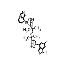 CC(C)(CCC(C)(C)NC[C@H](O)c1cccn2cncc12)NC[C@H](O)c1cc(F)cc2[nH]ncc12